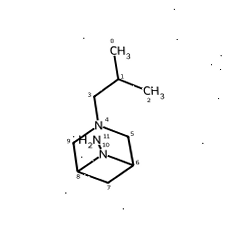 CC(C)CN1CC2CC(C1)N2N